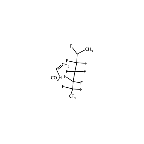 C=CC(=O)O.CC(F)C(F)(F)C(F)(F)C(F)(F)C(F)(F)C(F)(F)F